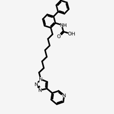 O=C(O)Nc1c(CCCCCCCCn2cc(-c3cccnc3)nn2)cccc1-c1ccccc1